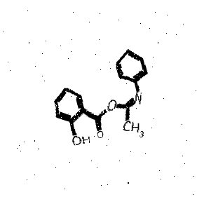 CC(=Nc1ccccc1)OC(=O)c1ccccc1O